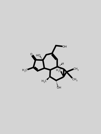 CC1=CC2C3[C@@H](C=C(CO)C[C@]2(O)C1=O)C1C(C)(C)[C@]1(C)[C@H](O)[C@H]3C